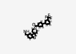 NCc1ccc2c(c1)C1(CCN(C(=O)c3ccc(-c4cccc(C(F)(F)F)c4)cc3)CC1)CO2